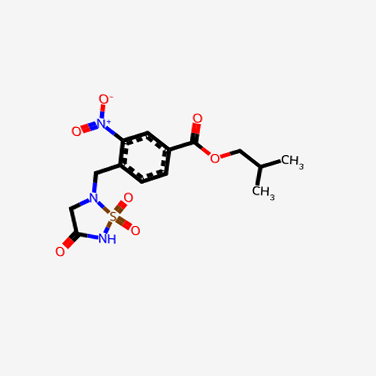 CC(C)COC(=O)c1ccc(CN2CC(=O)NS2(=O)=O)c([N+](=O)[O-])c1